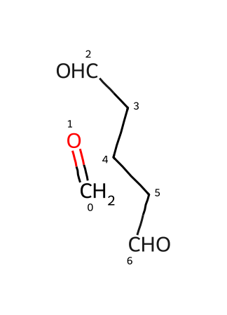 C=O.O=CCCCC=O